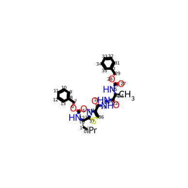 CC(C)C[C@H](NC(=O)OCc1ccccc1)c1nc(C(=O)NNC(=O)[C@H](C)NC(=O)OCc2ccccc2)cs1